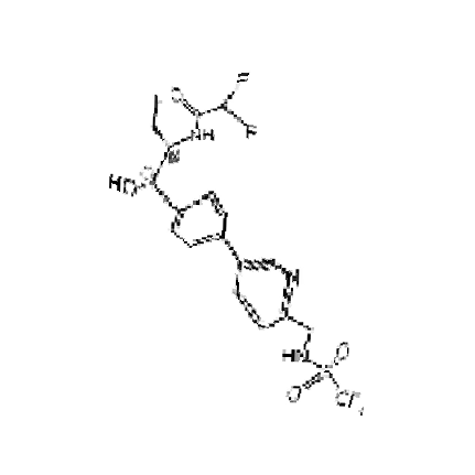 O=C(N[C@H](CF)[C@@H](O)c1ccc(-c2ccc(CNS(=O)(=O)C(F)(F)F)nc2)cc1)C(F)F